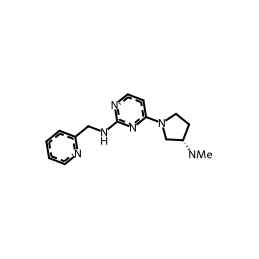 CN[C@H]1CCN(c2ccnc(NCc3ccccn3)n2)C1